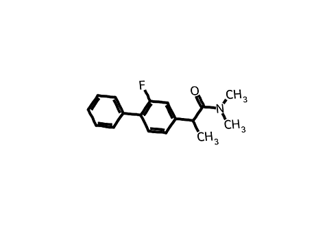 CC(C(=O)N(C)C)c1ccc(-c2ccccc2)c(F)c1